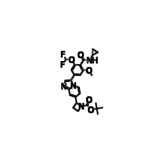 COc1cc(-c2cnc3cc(C4CCN4C(=O)OC(C)(C)C)ccn23)cc(OC(F)F)c1C(=O)NC1CC1